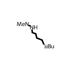 CC[C@@H](C)CCCCCNNC